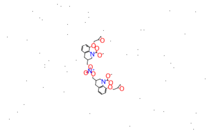 COC(=O)N1CC(CO[N+](=O)OCC2Cc3cccc(OCC4CO4)c3N(C(=O)OC)C2)Cc2cccc(OCC3CO3)c21